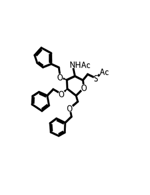 CC(=O)NC1C(CSC(C)=O)OC(COCc2ccccc2)[C@@H](OCc2ccccc2)[C@H]1OCc1ccccc1